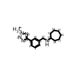 Cn1nnc(-c2cccc(CNC3CCCCCC3)c2)n1